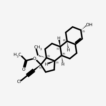 CC[C@]12CC[C@H]3[C@@H](CCC4=C[C@@H](O)CC[C@@H]43)[C@@H]1CC[C@]2(C#CCl)OC(C)=O